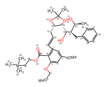 COCOc1cc(OC)cc(/C=C/C[C@@H]2OC(C)(C)O[C@@H]2C(O)[C@H](Cc2ccccc2)[C@H](C)O)c1C(=O)OCC[Si](C)(C)C